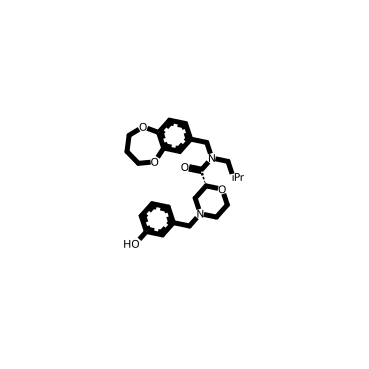 CC(C)CN(Cc1ccc2c(c1)OCCCO2)C(=O)[C@H]1CN(Cc2cccc(O)c2)CCO1